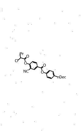 CCCCCCCCCCc1ccc(OC(=O)c2ccc(OC(=O)C(Cl)C(C)C)c(C#N)c2)cc1